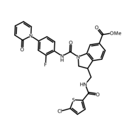 COC(=O)c1ccc2c(c1)N(C(=O)Nc1ccc(-n3ccccc3=O)cc1F)CC2CNC(=O)c1ccc(Cl)s1